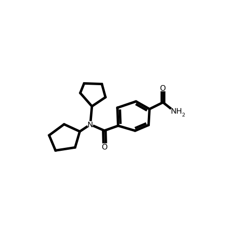 NC(=O)c1ccc(C(=O)N(C2CCCC2)C2CCCC2)cc1